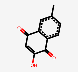 Cc1ccc2c(c1)C(=O)C=C(O)C2=O